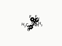 CCn1cc(C2=NC(c3ccc(F)cc3)(c3ccnc(F)c3)C(C)N2)ccc1=O